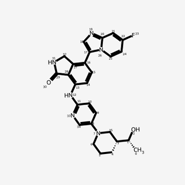 C[C@@H](O)[C@@H]1CCCN(c2ccc(Nc3ccc(-c4cnc5cc(F)ccn45)c4c3C(=O)NC4)nc2)C1